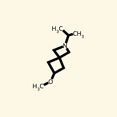 COC1CC2(C1)CN(C(C)C)C2